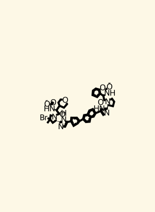 COC(=O)NC(C(=O)N1CCC[C@H]1c1ncc(-c2ccc3cc(-c4ccc(-c5cnc([C@@H]6CC(C)(Br)CN6C(=O)[C@@H](NC(=O)OC)C6CCOCC6)[nH]5)cc4)ccc3c2)[nH]1)c1ccccc1